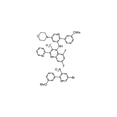 COc1cccc(-c2ncc(Br)cc2[N+](=O)[O-])c1.COc1cccc(-c2ncc(N3CCOCC3)cc2Nc2c(C)c(-c3ccccn3)nc3cc(F)cc(F)c23)c1